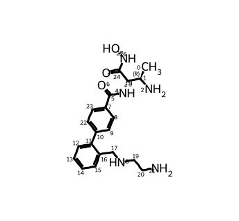 C[C@@H](N)[C@H](NC(=O)c1ccc(-c2ccccc2CNCCN)cc1)C(=O)NO